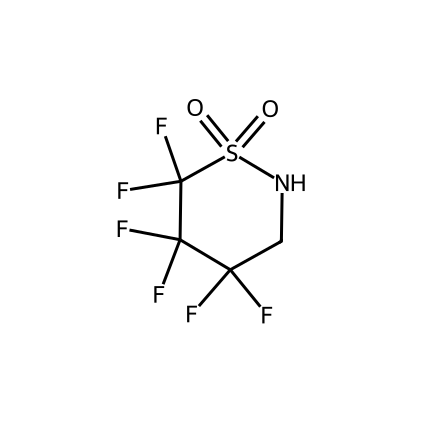 O=S1(=O)NCC(F)(F)C(F)(F)C1(F)F